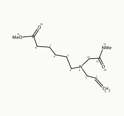 C=CCN(CCCCCC(=O)OC)CC(=O)NC